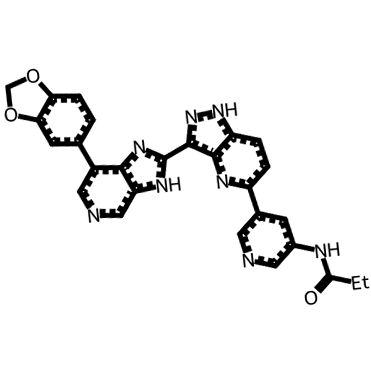 CCC(=O)Nc1cncc(-c2ccc3[nH]nc(-c4nc5c(-c6ccc7c(c6)OCO7)cncc5[nH]4)c3n2)c1